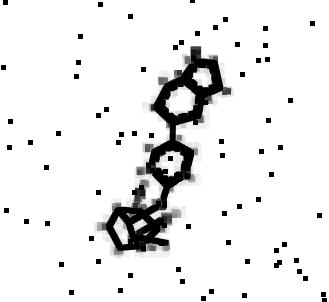 C[C@H]1[C@H](Oc2ncc(-c3ccc4[nH]ccc4c3)cn2)C2CCN1CC2